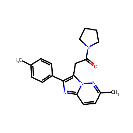 Cc1ccc(-c2nc3ccc(C)nn3c2CC(=O)N2CCCC2)cc1